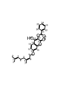 CC(C)=CCCC(C)=CCOc1ccc2c(O)c(OC(=O)c3ccccc3)c(=O)oc2c1